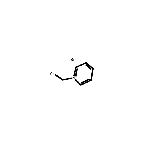 CC(=O)C[n+]1ccccc1.[Br-]